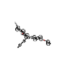 C#Cc1ccc(C#Cc2ccc(C#CC3(OC(=O)c4ccc(OC(=O)C5CCC(C(=O)OCCCCCC)CC5)cc4)CCC(c4ccc(OC(=O)C5CCC(C(=O)OCCCCCCOC(=O)C=C)CC5)cc4)CC3)cc2)cc1